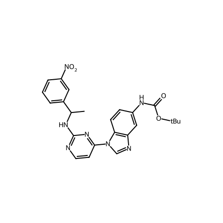 CC(Nc1nccc(-n2cnc3cc(NC(=O)OC(C)(C)C)ccc32)n1)c1cccc([N+](=O)[O-])c1